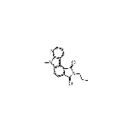 CCCN1C(=O)c2ccc3c(c2C1=O)c1cccnc1n3C